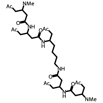 CNC(CC(C)=O)CC(=O)NC(CC(C)=O)CC(=O)NCCCCC(CC(C)=O)NC(=O)CC(CC(C)=O)NC(=O)CC(CC(C)=O)NC